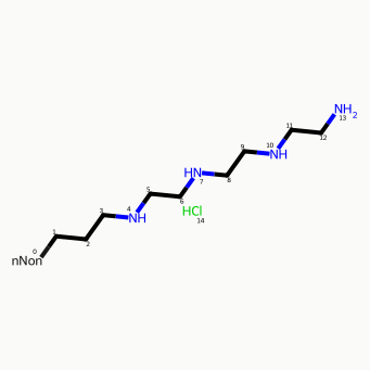 CCCCCCCCCCCCNCCNCCNCCN.Cl